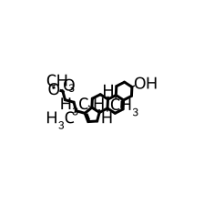 COC(=O)CC[C@@H](C)C1=CC[C@H]2[C@@H]3CC=C4C[C@@H](O)CC[C@]4(C)[C@H]3CC[C@]12C